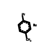 Cc1ccc(C(C)C)cc1.[Ru]